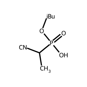 [C-]#[N+]C(C)P(=O)(O)OC(C)CC